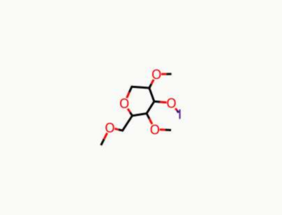 COCC1OCC(OC)C(OI)C1OC